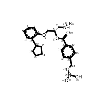 CC(C)(C)NC[C@@H](COc1ccccc1C1CCCC1)OC(=O)c1ccc(CON(O)O)cc1